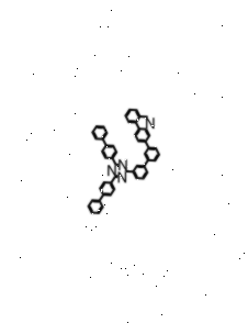 c1ccc(-c2ccc(-c3nc(-c4ccc(-c5ccccc5)cc4)nc(-c4cccc(-c5cccc(-c6ccc7c(c6)ncc6ccccc67)c5)c4)n3)cc2)cc1